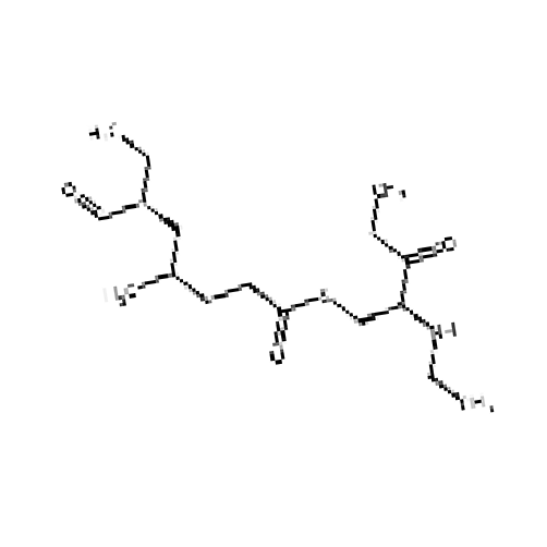 CCN[C@@H](CSC(=O)CCC(C)C[C@@H](C=O)CC)C(=O)CC